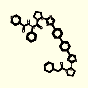 O=C(N[C@H](C(=O)N1CCC[C@H]1c1ncc(-c2ccc(-c3ccc(-c4cnc([C@@H]5CCCN5C(=O)CC5=CC=CCC5)s4)cc3)cc2)s1)c1ccccc1)c1ccncc1